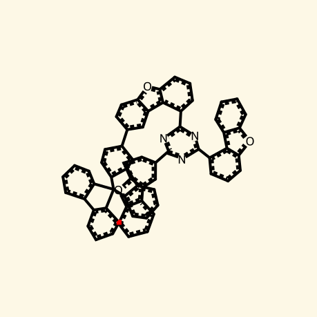 c1ccc2c(c1)-c1ccccc1C21c2ccccc2-c2cc(-c3ccc4oc5cccc(-c6nc(-c7ccc8oc9ccccc9c8c7)nc(-c7cccc8oc9ccccc9c78)n6)c5c4c3)ccc21